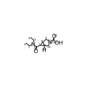 CCN(CC)C(=O)C1C2CN(C(=O)O)C[C@@H]21